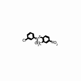 CCN(Sc1ccc([N+](=O)[O-])cc1C(Cl)(Cl)Cl)c1cccc(Cl)c1